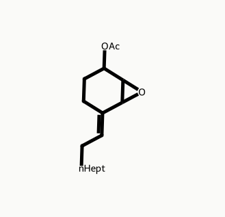 CCCCCCCCC=C1CCC(OC(C)=O)C2OC12